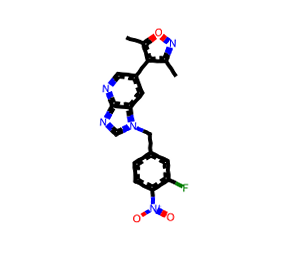 Cc1noc(C)c1-c1cnc2ncn(Cc3ccc([N+](=O)[O-])c(F)c3)c2c1